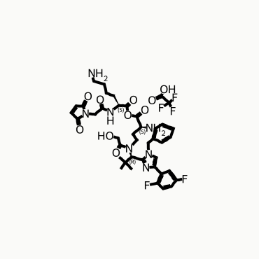 CC(C)(C)[C@H](c1nc(-c2cc(F)ccc2F)cn1Cc1ccccc1)N(CC[C@H](N)C(=O)OC(=O)[C@H](CCCCN)NC(=O)CN1C(=O)C=CC1=O)C(=O)CO.O=C(O)C(F)(F)F